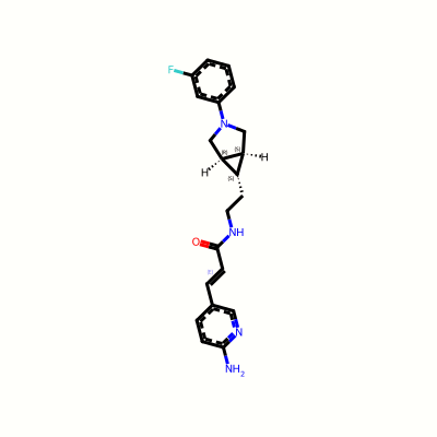 Nc1ccc(/C=C/C(=O)NCC[C@@H]2[C@H]3CN(c4cccc(F)c4)C[C@@H]23)cn1